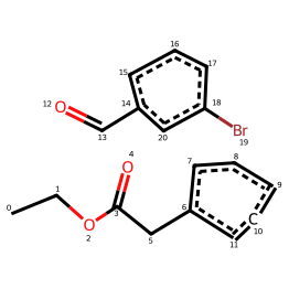 CCOC(=O)Cc1ccccc1.O=Cc1cccc(Br)c1